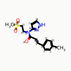 Cc1ccc(/C=C/C(=O)N(CCS(C)(=O)=O)c2cc[nH]n2)cc1